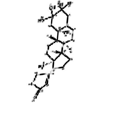 C[C@]12CC[C@H]3[C@@H](CCC4CC(O)(O)C(O)(O)C[C@@]43C)[C@@H]1CC[C@@H]2C1=CC(=O)OC1